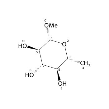 [CH2]O[C@@H]1O[C@H](C)[C@@H](O)[C@H](O)[C@H]1O